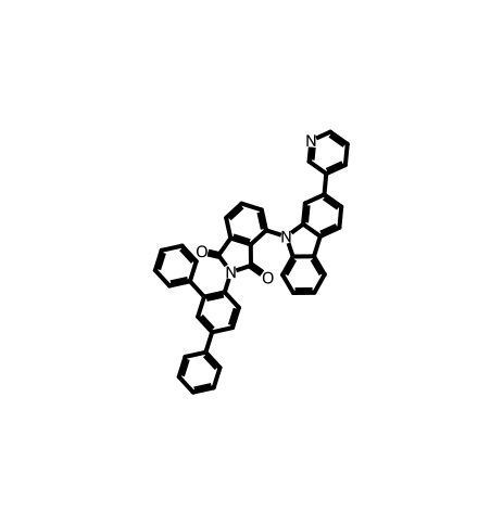 O=C1c2cccc(-n3c4ccccc4c4ccc(-c5cccnc5)cc43)c2C(=O)N1c1ccc(-c2ccccc2)cc1-c1ccccc1